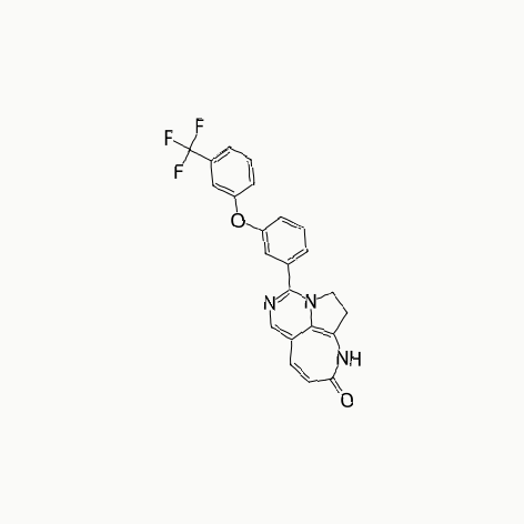 O=C1C=CC2=CN=C(c3cccc(Oc4cccc(C(F)(F)F)c4)c3)N3CCC(=C23)N1